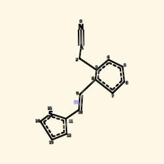 N#CCc1ccccc1/C=C/c1cccs1